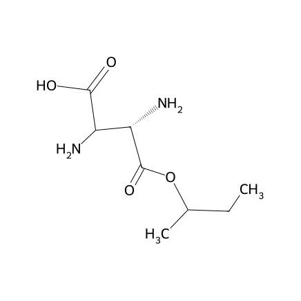 CCC(C)OC(=O)[C@@H](N)C(N)C(=O)O